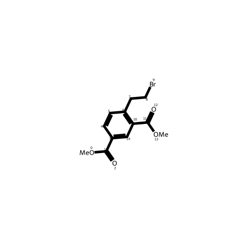 COC(=O)c1ccc(CCBr)c(C(=O)OC)c1